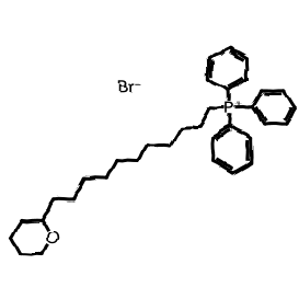 [Br-].c1ccc([P+](CCCCCCCCCCCC2CCCCO2)(c2ccccc2)c2ccccc2)cc1